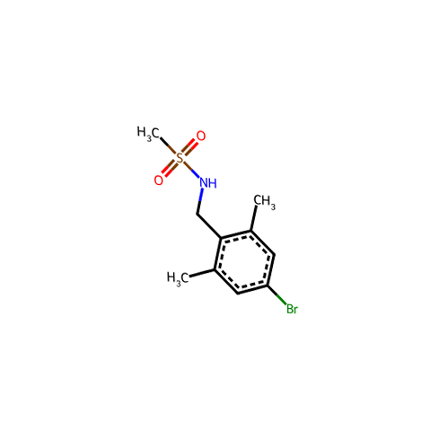 Cc1cc(Br)cc(C)c1CNS(C)(=O)=O